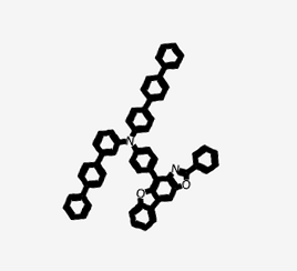 c1ccc(-c2ccc(-c3ccc(N(c4ccc(-c5c6nc(-c7ccccc7)oc6cc6c5oc5ccccc56)cc4)c4cccc(-c5ccc(-c6ccccc6)cc5)c4)cc3)cc2)cc1